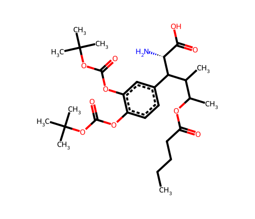 CCCCC(=O)OC(C)C(C)C(c1ccc(OC(=O)OC(C)(C)C)c(OC(=O)OC(C)(C)C)c1)[C@H](N)C(=O)O